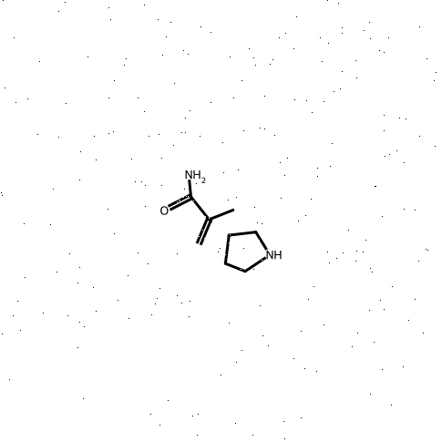 C1CCNC1.C=C(C)C(N)=O